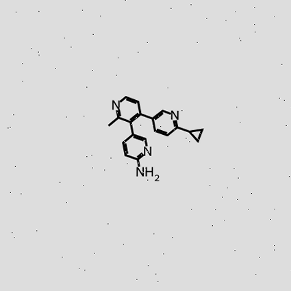 Cc1nccc(-c2ccc(C3CC3)nc2)c1-c1ccc(N)nc1